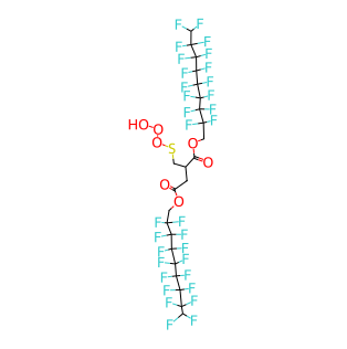 O=C(CC(CSOOO)C(=O)OCC(F)(F)C(F)(F)C(F)(F)C(F)(F)C(F)(F)C(F)(F)C(F)(F)C(F)F)OCC(F)(F)C(F)(F)C(F)(F)C(F)(F)C(F)(F)C(F)(F)C(F)(F)C(F)F